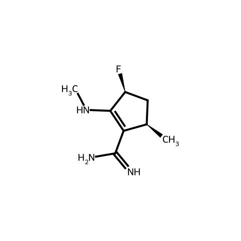 CNC1=C(C(=N)N)[C@H](C)C[C@@H]1F